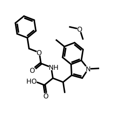 COC.Cc1ccc2c(c1)c(C(C)C(NC(=O)OCc1ccccc1)C(=O)O)cn2C